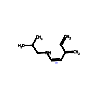 C=CC(=C)/C=C\NCC(C)C